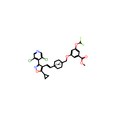 COC(=O)c1cc(OCC23CCC(C=Cc4c(-c5c(Cl)cncc5Cl)noc4C4CC4)(CC2)CC3)cc(OC(F)F)c1